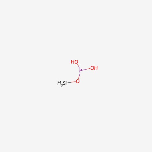 OP(O)O[SiH3]